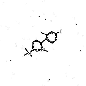 Cc1cc(F)ccc1-c1ccc([Si](C)(C)C)c[n+]1C